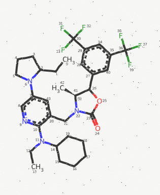 CCC1CCCN1c1cnc(N(CC)C2CCCCC2)c(CN2C(=O)OC(c3cc(C(F)(F)F)cc(C(F)(F)F)c3)[C@@H]2C)c1